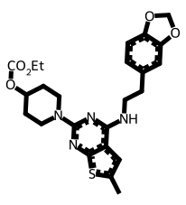 CCOC(=O)OC1CCN(c2nc(NCCc3ccc4c(c3)OCO4)c3cc(C)sc3n2)CC1